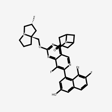 CCc1c(F)ccc2cc(O)cc(-c3ncc4c(N5C6CC(=O)CC5C6)nc(OC[C@@]56CCCN5C[C@H](F)C6)nc4c3F)c12